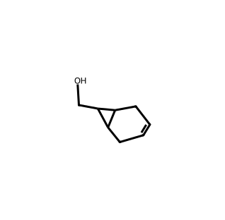 OCC1C2CC=CCC12